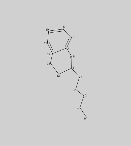 CCCCCC1[C]c2ccccc2CC1